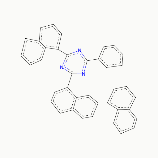 c1ccc(-c2nc(-c3cccc4ccccc34)nc(-c3cccc4ccc(-c5cccc6ccccc56)cc34)n2)cc1